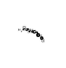 C=C(/C=C\N=C(/N)C(F)(F)F)NC(=O)N1CC2(CCN(Cc3cccc(Oc4ccc(Cl)cc4)c3)CC2)C1